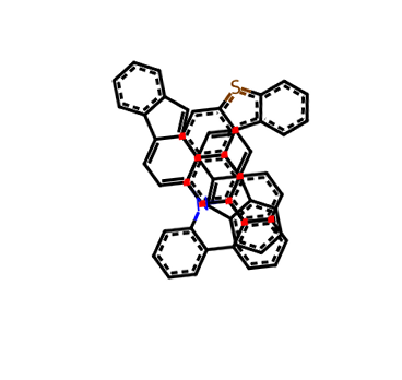 C1=CC2(C3=Cc4ccccc4C3=C1)C1=Cc3ccccc3C1=CC=C2N(c1ccccc1-c1ccccc1-c1ccccc1)c1ccccc1-c1cccc2sc3ccccc3c12